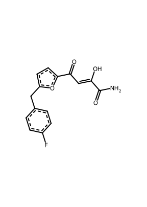 NC(=O)C(O)=CC(=O)c1ccc(Cc2ccc(F)cc2)o1